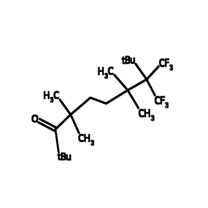 CC(C)(C)C(=O)C(C)(C)CCC(C)(C)C(C(C)(C)C)(C(F)(F)F)C(F)(F)F